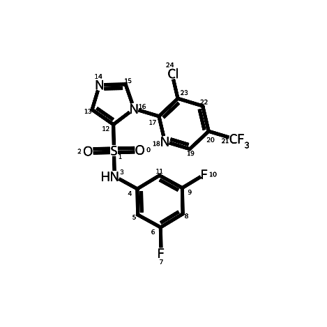 O=S(=O)(Nc1cc(F)cc(F)c1)c1cncn1-c1ncc(C(F)(F)F)cc1Cl